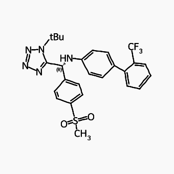 CC(C)(C)n1nnnc1[C@H](Nc1ccc(-c2ccccc2C(F)(F)F)cc1)c1ccc(S(C)(=O)=O)cc1